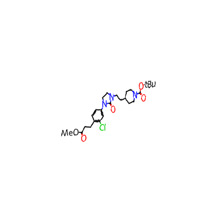 COC(=O)CCc1ccc(N2CCN(CCC3CCN(C(=O)OC(C)(C)C)CC3)C2=O)cc1Cl